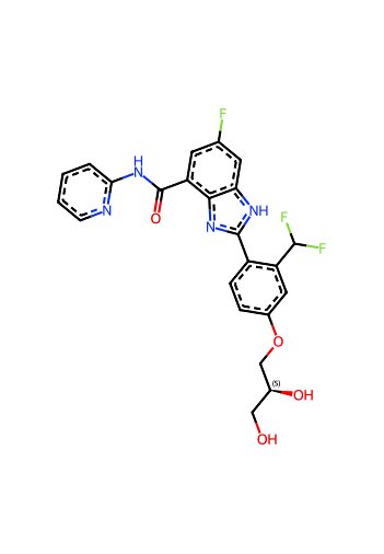 O=C(Nc1ccccn1)c1cc(F)cc2[nH]c(-c3ccc(OC[C@@H](O)CO)cc3C(F)F)nc12